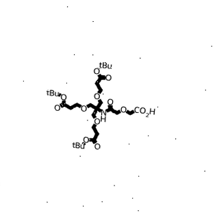 CC(C)(C)OC(=O)CCOCC(COCCC(=O)OC(C)(C)C)(COCCC(=O)OC(C)(C)C)NC(=O)COCC(=O)O